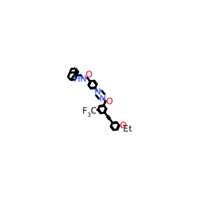 CCOc1cccc(C#Cc2cc(C(=O)N3CCN(c4ccc(C(=O)NCC56CC7CC(CC(C7)C5)C6)cc4)CC3)cc(C(F)(F)F)c2)c1